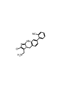 CCCCc1nc(Cl)c(CN)n1Cc1ccc(-c2ccccc2C#N)cc1